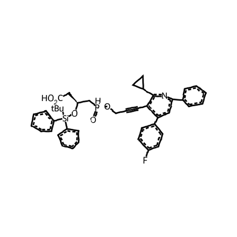 CC(C)(C)[Si](O[C@@H](CC(=O)O)C[PH](=O)OCC#Cc1c(-c2ccc(F)cc2)cc(-c2ccccc2)nc1C1CC1)(c1ccccc1)c1ccccc1